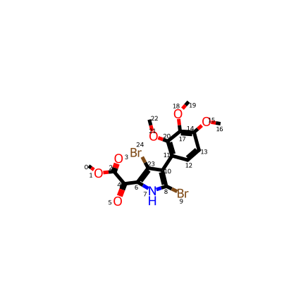 COC(=O)C(=O)c1[nH]c(Br)c(-c2ccc(OC)c(OC)c2OC)c1Br